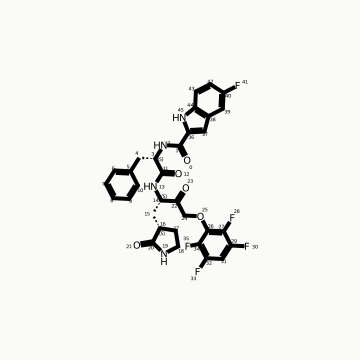 O=C(N[C@@H](Cc1ccccc1)C(=O)N[C@@H](C[C@@H]1CCNC1=O)C(=O)COc1c(F)c(F)cc(F)c1F)c1cc2cc(F)ccc2[nH]1